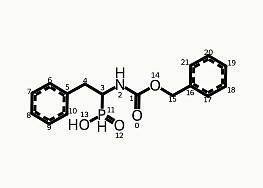 O=C(NC(Cc1ccccc1)[PH](=O)O)OCc1ccccc1